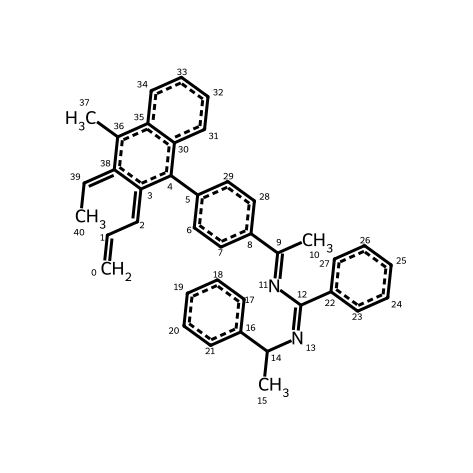 C=C/C=c1/c(-c2ccc(/C(C)=N/C(=N\C(C)c3ccccc3)c3ccccc3)cc2)c2ccccc2c(C)/c1=C/C